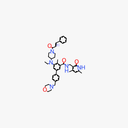 CCN(c1cc(-c2ccc(CN3CCOCC3)cc2)cc(C(=O)NCc2c(C)cc(C)[nH]c2=O)c1C)C1CCN(C(=O)/C=C/c2ccccc2)CC1